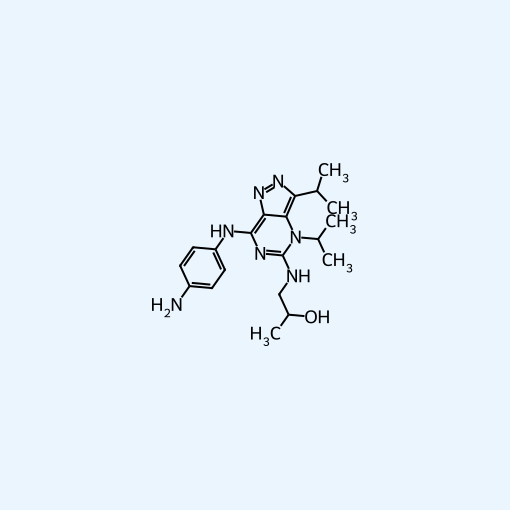 CC(O)CNc1nc(Nc2ccc(N)cc2)c2nnc(C(C)C)c-2n1C(C)C